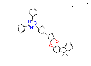 CC1(C)c2ccccc2-c2c1ccc1c2Oc2ccc(-c3ccc(-c4nc(-c5ccccc5)nc(-c5ccccc5)n4)cc3)cc2O1